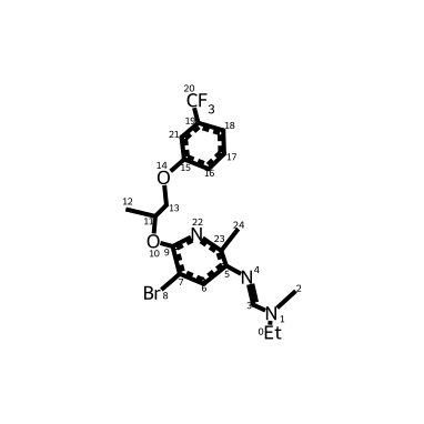 CCN(C)C=Nc1cc(Br)c(OC(C)COc2cccc(C(F)(F)F)c2)nc1C